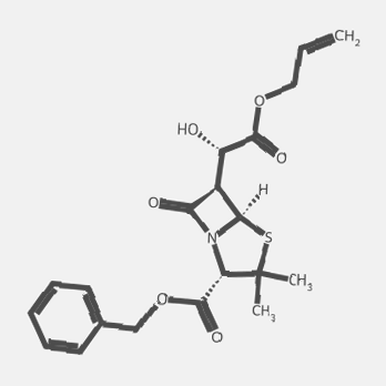 C=CCOC(=O)[C@@H](O)[C@@H]1C(=O)N2[C@@H]1SC(C)(C)[C@@H]2C(=O)OCc1ccccc1